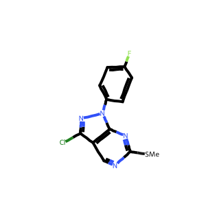 CSc1ncc2c(Cl)nn(-c3ccc(F)cc3)c2n1